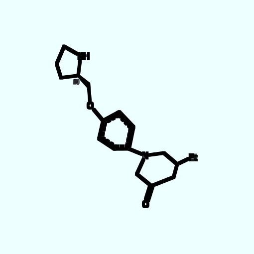 CCC1CC(=O)CN(c2ccc(OC[C@H]3CCCN3)cc2)C1